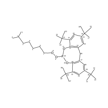 CC(C)CCCCCOOP1Oc2c(cc(C(C)(C)C)cc2C(C)(C)C)Cc2cc(C(C)(C)C)cc(C(C)(C)C)c2O1